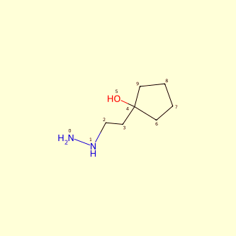 NNCCC1(O)CCCC1